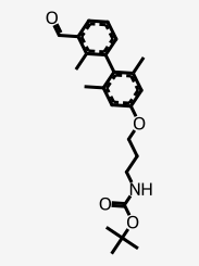 Cc1cc(OCCCNC(=O)OC(C)(C)C)cc(C)c1-c1cccc(C=O)c1C